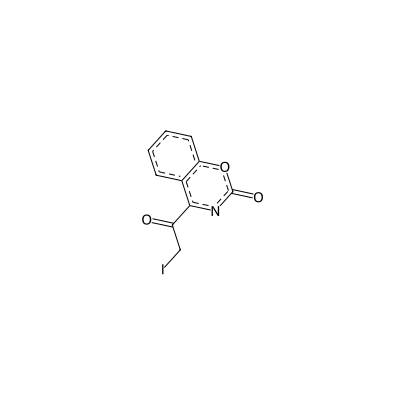 O=C(CI)c1nc(=O)oc2ccccc12